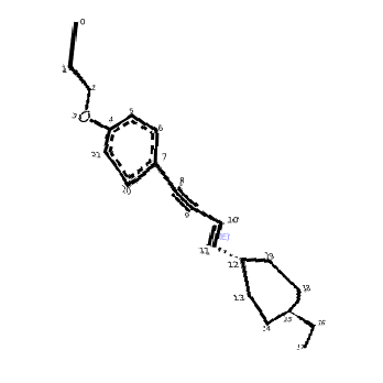 CCCOc1ccc(C#C/C=C/[C@H]2CC[C@H](CC)CC2)cc1